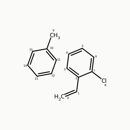 C=Cc1ccccc1Cl.Cc1ccccc1